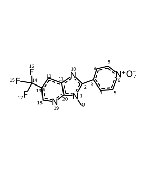 Cn1c(-c2cc[n+]([O-])cc2)nc2cc(C(F)(F)F)cnc21